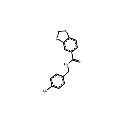 O=C(NCc1ccc([N+](=O)[O-])cc1)c1ccc2c(c1)OCO2